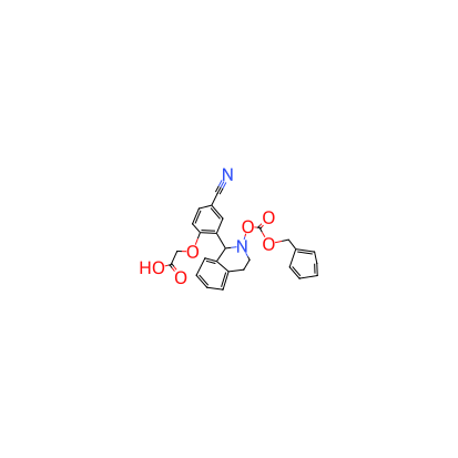 N#Cc1ccc(OCC(=O)O)c(C2c3ccccc3CCN2OC(=O)OCc2ccccc2)c1